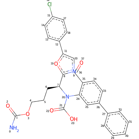 NC(=O)OCCC[C@@H](c1ncc(-c2ccc(Cl)cc2)o1)N(C(=O)O)c1cc(-c2ccccc2)ccc1C=O